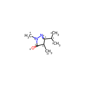 CC(C)C1=NN(C)C(=O)C1C